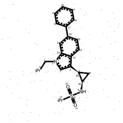 CC(C)Cn1cc([C@H]2C[C@H]2NS(=O)(=O)C(C)C)c2ccc(-c3ccccc3)cc21